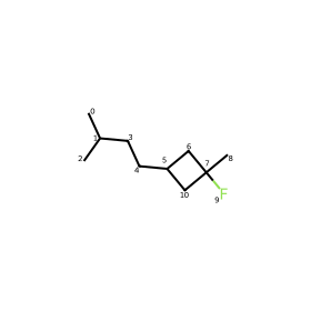 CC(C)CCC1CC(C)(F)C1